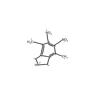 Cc1c2c(c(C)c([N+](=O)[O-])c1[N+](=O)[O-])CNC2